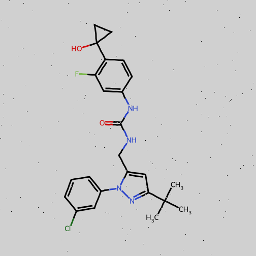 CC(C)(C)c1cc(CNC(=O)Nc2ccc(C3(O)CC3)c(F)c2)n(-c2cccc(Cl)c2)n1